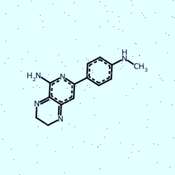 CNc1ccc(-c2cc3c(c(N)n2)=NCCN=3)cc1